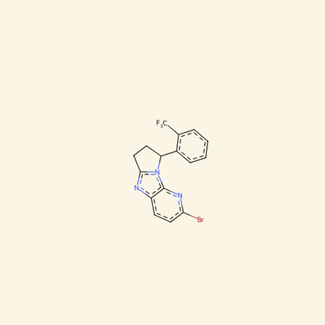 FC(F)(F)c1ccccc1C1CCc2nc3ccc(Br)nc3n21